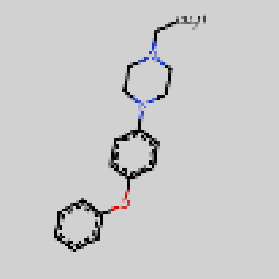 O=C(O)CN1CCN(c2ccc(Oc3ccccc3)cc2)CC1